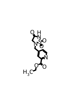 CCOC(=O)c1cc(CN2CC(=O)NS2(=O)=O)ccn1